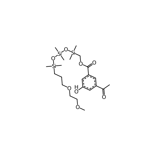 COCCOCCC[Si](C)(C)O[Si](C)(C)O[Si](C)(C)COC(=O)c1cc(O)cc(C(C)=O)c1